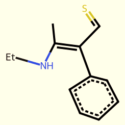 CCNC(C)=C(C=S)c1ccccc1